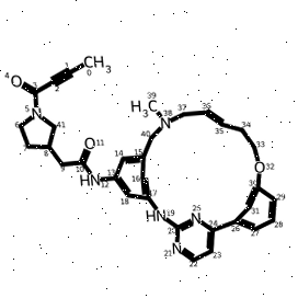 CC#CC(=O)N1CCC(CC(=O)Nc2cc3cc(c2)Nc2nccc(n2)-c2cccc(c2)OCC/C=C/CN(C)C3)C1